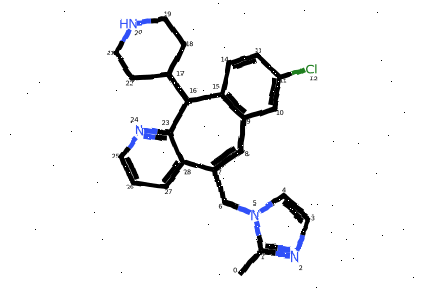 Cc1nccn1CC1=Cc2cc(Cl)ccc2C(C2CCNCC2)c2ncccc21